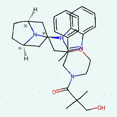 Cc1nc2ccccc2n1[C@H]1C[C@H]2CC[C@@H](C1)N2CCC1(c2ccccc2)CN(C(=O)C(C)(C)CO)CCO1